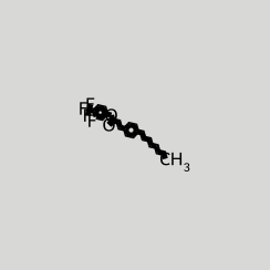 CCCCCCCCC1CCC(CCC(=O)Oc2ccc(C(F)(F)F)c(F)c2)CC1